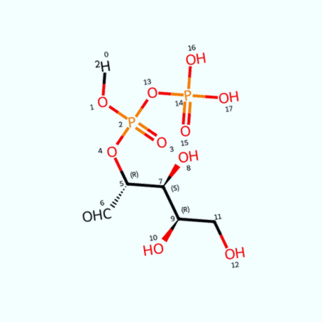 [2H]OP(=O)(O[C@@H](C=O)[C@@H](O)[C@H](O)CO)OP(=O)(O)O